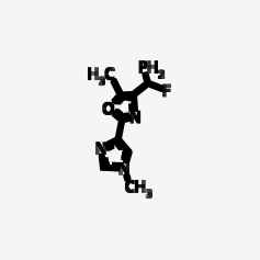 Cc1oc(-c2cn(C)cn2)nc1C(F)P